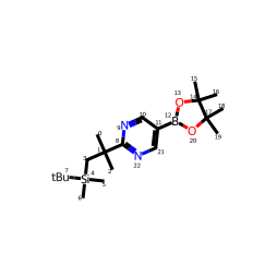 CC(C)(C[Si](C)(C)C(C)(C)C)c1ncc(B2OC(C)(C)C(C)(C)O2)cn1